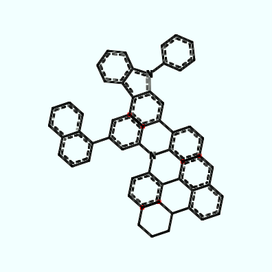 c1ccc(-n2c3ccccc3c3ccc(-c4ccccc4N(c4cccc(-c5cccc6ccccc56)c4)c4ccccc4-c4cccc5cccc(C6CCCCC6)c45)cc32)cc1